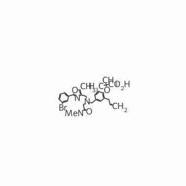 C=CCc1cc(CN(CC(=O)NC)Cc2nc(-c3cccc(Br)c3)oc2C)ccc1OC(C)(C)C(=O)O